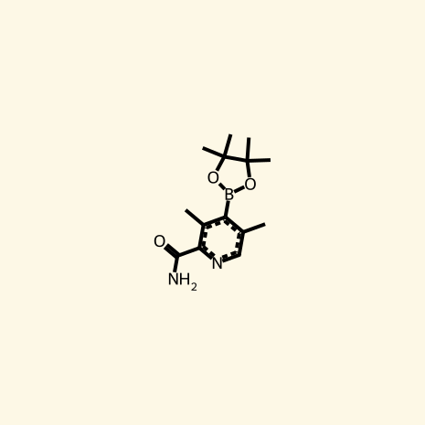 Cc1cnc(C(N)=O)c(C)c1B1OC(C)(C)C(C)(C)O1